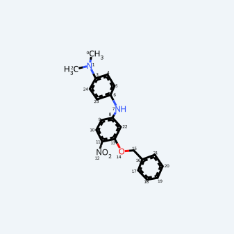 CN(C)c1ccc(Nc2ccc([N+](=O)[O-])c(OCc3ccccc3)c2)cc1